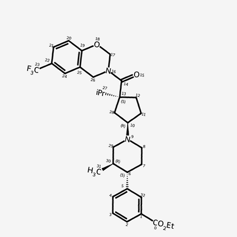 CCOC(=O)c1cccc([C@H]2CCN([C@@H]3CC[C@@](C(=O)N4COc5ccc(C(F)(F)F)cc5C4)(C(C)C)C3)C[C@@H]2C)c1